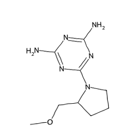 COCC1CCCN1c1nc(N)nc(N)n1